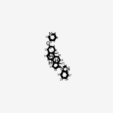 C[C@]12CC[C@H](Oc3cccnc3)CC1=CC[C@@H]1[C@@H]2CC[C@]2(C)C(n3cnc4ccccc43)=CC[C@@H]12